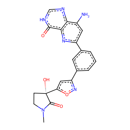 CN1CC[C@@](O)(c2cc(-c3cccc(-c4cc(N)c5nc[nH]c(=O)c5n4)c3)no2)C1=O